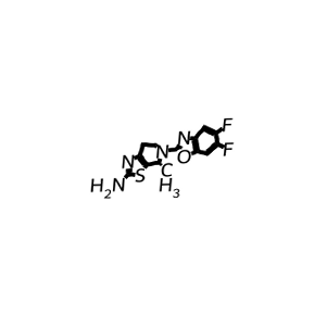 C[C@H]1c2sc(N)nc2CCN1c1nc2cc(F)c(F)cc2o1